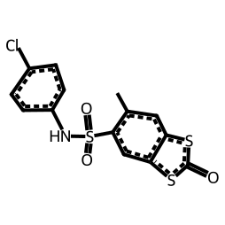 Cc1cc2sc(=O)sc2cc1S(=O)(=O)Nc1ccc(Cl)cc1